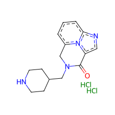 Cl.Cl.O=C1c2cnc3cccc(n23)CN1CC1CCNCC1